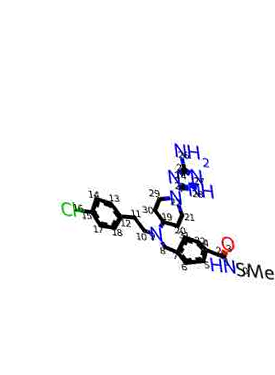 CSNC(=O)c1ccc(CN(CCc2ccc(Cl)cc2)C2CCN(c3nc(N)n[nH]3)CC2)cc1